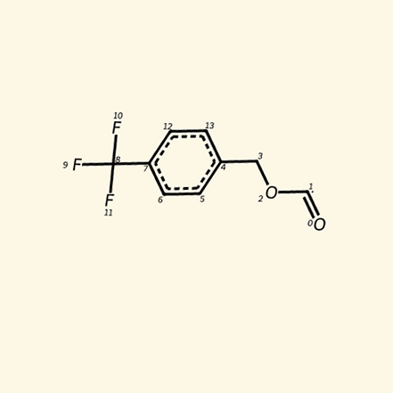 O=[C]OCc1ccc(C(F)(F)F)cc1